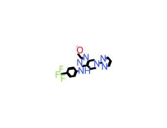 COCc1nc2c(c(Nc3ccc(C(F)(F)F)cc3)n1)CCN(c1ncccn1)C2